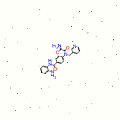 NC(=O)C(=O)N(Cc1cccnc1)c1ccc(C(=O)Nc2ccccc2N)cc1